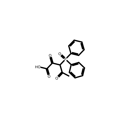 CC(=O)C(C(=O)C(=O)O)P(=O)(c1ccccc1)c1ccccc1